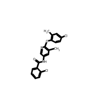 Cc1cc(Cl)ccc1Oc1ncc(NC(=O)c2ccccc2Cl)cc1C